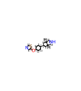 C1=C(c2ccc(Oc3cncs3)cc2)C[C@@H]2CNC[C@H]12